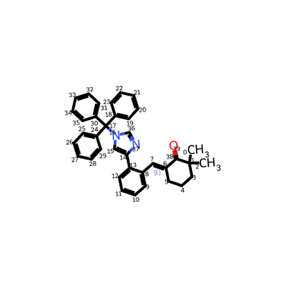 CC1(C)CCC/C(=C\c2ccccc2-c2cn(C(c3ccccc3)(c3ccccc3)c3ccccc3)cn2)C1=O